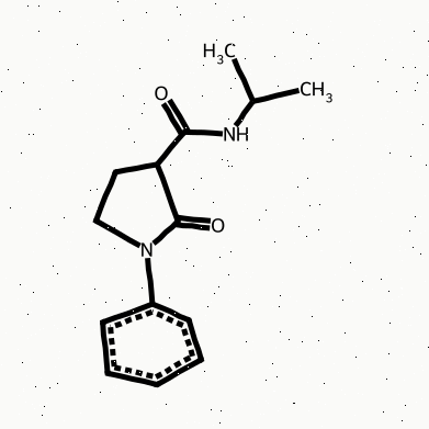 CC(C)NC(=O)C1CCN(c2ccccc2)C1=O